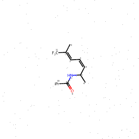 C/C(=C\C=C/C(C)NC(=O)C(C)C)C(F)(F)F